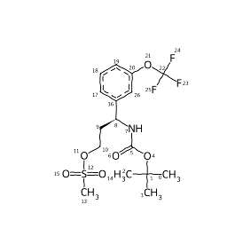 CC(C)(C)OC(=O)N[C@@H](CCOS(C)(=O)=O)c1cccc(OC(F)(F)F)c1